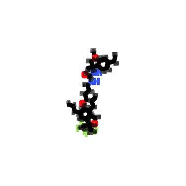 CCCc1cc2c(c(CCC)c1OCCCCNC(=O)NC(C)(COC)C1C=CC(CC)=CC1)COC2(C(F)F)C(F)(F)F